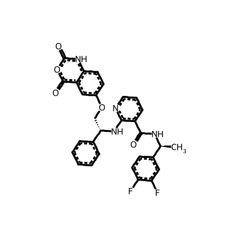 C[C@H](NC(=O)c1cccnc1N[C@@H](COc1ccc2[nH]c(=O)oc(=O)c2c1)c1ccccc1)c1ccc(F)c(F)c1